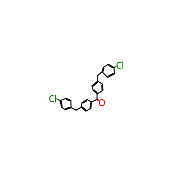 O=C(c1ccc(Cc2ccc(Cl)cc2)cc1)c1ccc(Cc2ccc(Cl)cc2)cc1